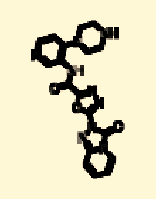 O=C(Nc1cnccc1N1CCNCC1)c1nnc(-n2nc3ccccn3c2=O)o1